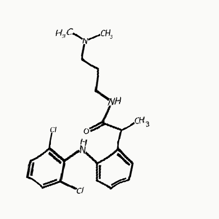 CC(C(=O)NCCCN(C)C)c1ccccc1Nc1c(Cl)cccc1Cl